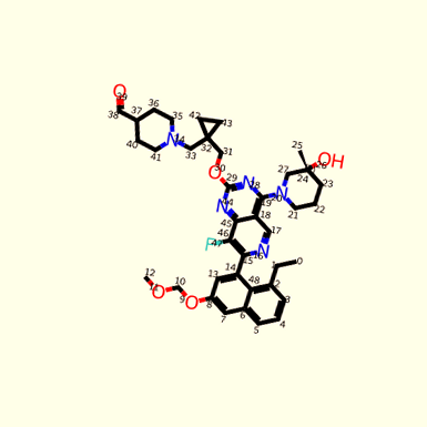 CCc1cccc2cc(OCOC)cc(-c3ncc4c(N5CCC[C@@](C)(O)C5)nc(OCC5(CN6CCC(C=O)CC6)CC5)nc4c3F)c12